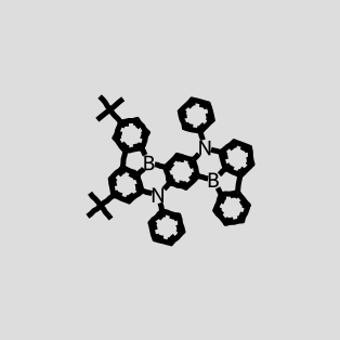 CC(C)(C)c1ccc2c(c1)-c1cc(C(C)(C)C)cc3c1B2c1cc2c(cc1N3c1ccccc1)B1c3ccccc3-c3cccc(c31)N2c1ccccc1